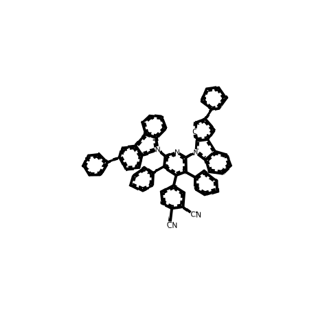 N#Cc1ccc(-c2c(-c3ccccc3)c(-n3c4ccccc4c4cc(-c5ccccc5)ccc43)nc(-n3c4ccccc4c4cc(-c5ccccc5)ccc43)c2-c2ccccc2)cc1C#N